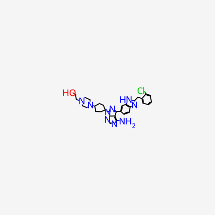 Nc1ncnc2c1c(-c1ccc3nc(Cc4ccccc4Cl)[nH]c3c1)nn2[C@H]1CC[C@H](N2CCN(CCO)CC2)CC1